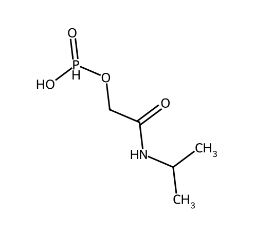 CC(C)NC(=O)CO[PH](=O)O